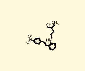 CCC(CC)CCCNc1ccccc1C=Cc1ccc([N+](=O)[O-])cc1